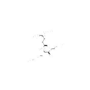 CCCCCSC[C@H](NC(=O)CC[C@H](N)C(=O)O)C(=O)NCC(=O)O